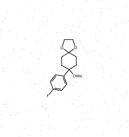 COC1(c2ccc(F)cc2)CCC2(CC1)OCCO2